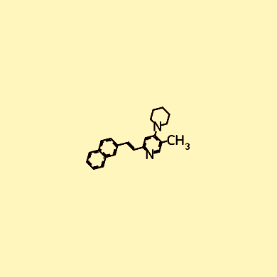 Cc1cnc(C=Cc2ccc3ccccc3c2)cc1N1CCCCC1